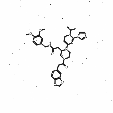 COc1ccc(CNC(=O)CC2CN(C(=O)Cc3ccc4c(c3)OCO4)CCN2C2=CCN(C(C)C)C(n3ccnc3)=N2)cc1OC